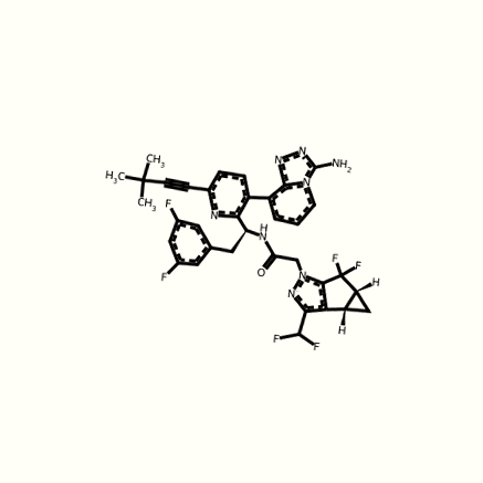 CC(C)(C)C#Cc1ccc(-c2cccn3c(N)nnc23)c([C@H](Cc2cc(F)cc(F)c2)NC(=O)Cn2nc(C(F)F)c3c2C(F)(F)[C@@H]2C[C@H]32)n1